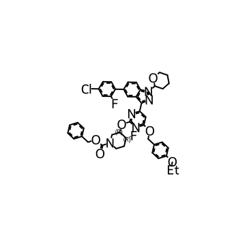 CCOc1ccc(COc2cc(-c3nn(C4CCCCO4)c4ccc(-c5ccc(Cl)cc5F)cc34)nc(O[C@@H]3CN(C(=O)OCc4ccccc4)CC[C@H]3F)n2)cc1